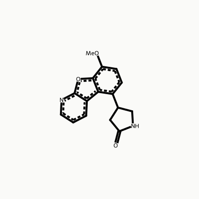 COc1ccc(C2CNC(=O)C2)c2c1oc1ncccc12